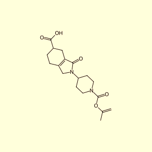 C=C(C)OC(=O)N1CCC(N2CC3=C(CC(C(=O)O)CC3)C2=O)CC1